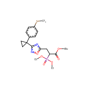 CCOP(=O)(OCC)C(Cc1nc(C2(c3ccc(SC(F)(F)F)cc3)CC2)no1)C(=O)OC(C)(C)C